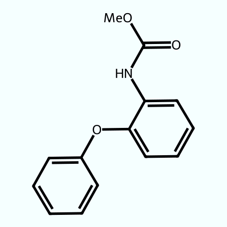 [CH2]OC(=O)Nc1ccccc1Oc1ccccc1